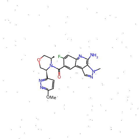 COc1ccc([C@H]2COC[C@@H](C)N2C(=O)c2cc3c(cc2F)nc(N)c2c3cnn2C)nn1